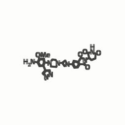 COc1cc(N2CCN(C3CN(c4ccc5c(c4)C(=O)N(C4CCC(=O)NC4=O)C5=O)C3)CC2)c(-c2cnn(C)c2)cc1N